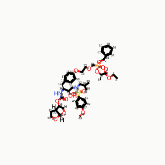 CCOC(=O)[C@@H](C)OP(=O)(COCCOc1ccc(C[C@H](NC(=O)O[C@H]2CO[C@H]3OCC[C@H]32)[C@H](O)CN(CC(C)C)S(=O)(=O)c2ccc(OC)cc2)cc1)OCc1ccccc1